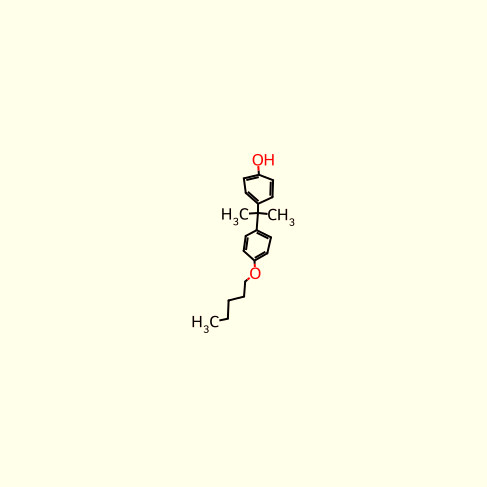 CCCCCOc1ccc(C(C)(C)c2ccc(O)cc2)cc1